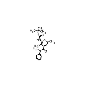 CC1=C(NC(=O)OC(C)(C)C)SC(C)C=C1C(=O)N(C)c1ccccc1